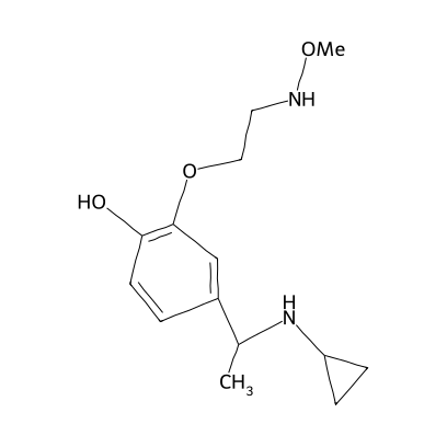 CONCCOc1cc(C(C)NC2CC2)ccc1O